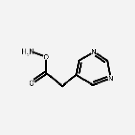 NOC(=O)Cc1cncnc1